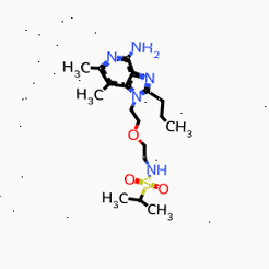 CCCc1nc2c(N)nc(C)c(C)c2n1CCOCCNS(=O)(=O)C(C)C